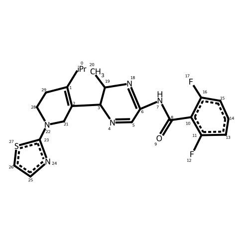 CC(C)C1=C(C2N=CC(NC(=O)c3c(F)cccc3F)=NC2C)CN(c2nccs2)CC1